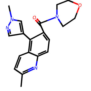 Cc1ccc2c(-c3cnn(C)c3)c(C(=O)N3CCOCC3)ccc2n1